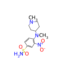 CN1CCC(N(C)c2ccc(S(N)(=O)=O)cc2[N+](=O)[O-])CC1